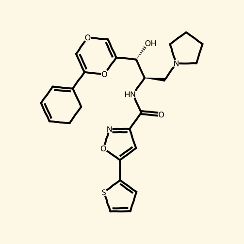 O=C(N[C@H](CN1CCCC1)[C@@H](O)C1=COC=C(C2=CC=CCC2)O1)c1cc(-c2cccs2)on1